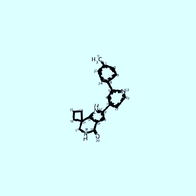 Cc1ccc(-c2cc(-c3cc4c([nH]3)C3(CCC3)CNC4=O)ccn2)cc1